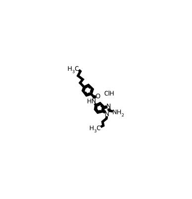 CCCCCc1ccc(C(=O)Nc2ccc3c(c2)nc(N)n3CCCC)cc1.Cl